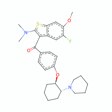 COc1cc2sc(N(C)C)c(C(=O)c3ccc(O[C@@H]4CCCC[C@H]4N4CCCCC4)cc3)c2cc1F